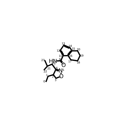 CCC1CON=C1[C@@H](NC(=O)c1cccc2c1CCCC2)C(C)C